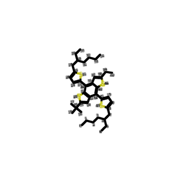 CCCCC(CC)Cc1ccc(-c2c3cc(C(C)(C)C)sc3c(-c3ccc(CC(CC)CCCC)s3)c3cc(CC)sc23)s1